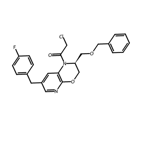 O=C(CCl)N1c2cc(Cc3ccc(F)cc3)cnc2OC[C@@H]1COCc1ccccc1